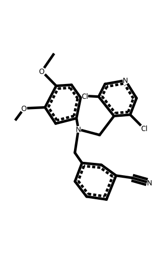 COc1ccc(N(Cc2cccc(C#N)c2)Cc2c(Cl)cncc2Cl)cc1OC